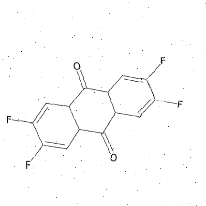 O=C1C2C=C(F)C(F)=CC2C(=O)C2C=C(F)C(F)=CC12